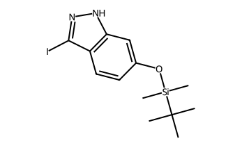 CC(C)(C)[Si](C)(C)Oc1ccc2c(I)n[nH]c2c1